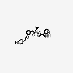 O=C(Cc1cccc(OCCN2CCNCC2)c1)N(c1nc(C2=CNC3N=CC=CC23)cs1)C1CC1